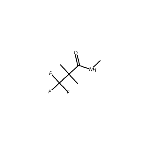 CNC(=O)C(C)(C)C(F)(F)F